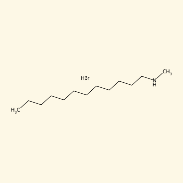 Br.CCCCCCCCCCCCNC